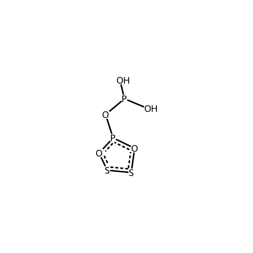 OP(O)Op1osso1